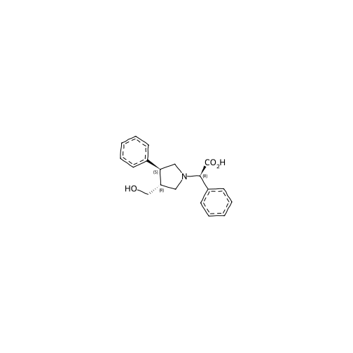 O=C(O)[C@@H](c1ccccc1)N1C[C@H](CO)[C@@H](c2ccccc2)C1